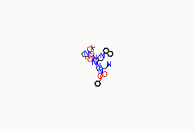 CC(C)(C)OC(=O)N1CCC[C@@]1(C)COc1nc2c(c(N3CCN(C(=O)OCc4ccccc4)C(CC#N)C3)n1)CCN(c1cccc3ccccc13)C2